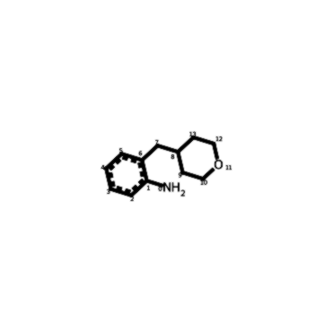 Nc1ccccc1CC1CCOCC1